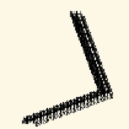 N.N.N.N.N.N.N.N.N.N.N.N.N.N.N.N.N.N.N.N.N.N.N.N.N.N.N.N.N.N.N.N.N.N.N.N.N.N.N.N.N.N.N.N.N.N.N.N.N.N.N.N.N.N.N.N.N.N.N.N.N.N.N.N.N.N.N.N.N.N.N.N.N.N.N.N.N.N.N.N.[AlH3]